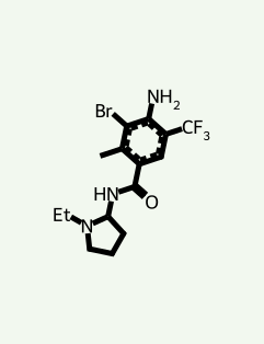 CCN1CCCC1NC(=O)c1cc(C(F)(F)F)c(N)c(Br)c1C